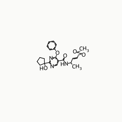 CC(C=CS(C)(=O)=O)NC(=O)c1cnc(C2(O)CCCC2)nc1Oc1ccccc1